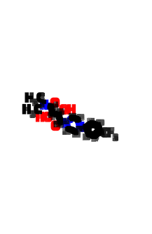 CN(C)C(=O)[C@H](O)[C@@H](O)C(=O)N1CCN(c2ccc(C(F)(F)F)cc2)CC1